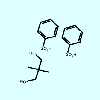 CC(C)(CO)CO.O=S(=O)(O)c1ccccc1.O=S(=O)(O)c1ccccc1